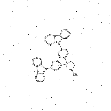 CN1CCC(c2ccc(-n3c4ccccc4c4ccccc43)cc2)(c2ccc(-n3c4ccccc4c4ccccc43)cc2)C1